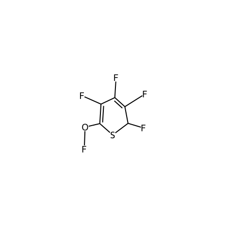 FOC1=C(F)C(F)=C(F)C(F)S1